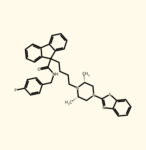 C[C@@H]1CN(c2nc3ccccc3s2)C[C@H](C)N1CCCCC1(C(=O)NCc2ccc(F)cc2)c2ccccc2-c2ccccc21